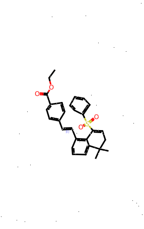 CCOC(=O)c1ccc(/C=C/c2cccc3c2C(S(=O)(=O)c2ccccc2)=CCC3(C)C)cc1